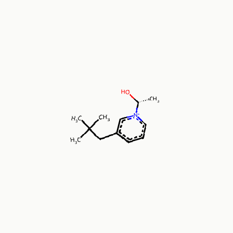 C[C@@H](O)[n+]1cccc(CC(C)(C)C)c1